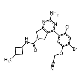 CC1CC(NC(=O)N2Cc3nc(N)nc(-c4cc(OCC#N)c(Br)cc4Cl)c3C2)C1